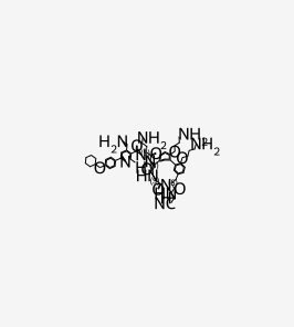 Cc1nc(-c2ccc(OC3CCCCC3)cc2)cc(CN)c1C(=O)N[C@@H](CCN)C(=O)N(C)[C@@H]1C(=O)N[C@@H](C)C(=O)N[C@H](C(=O)NCC#N)Cc2ccc(OCCCN)c(c2)-c2cc1ccc2OCCCN